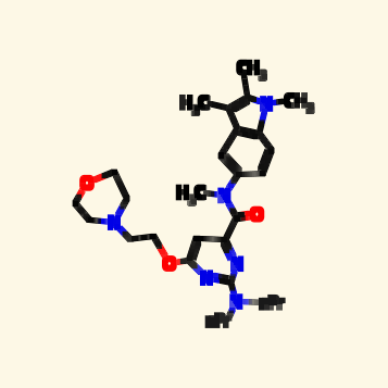 CCCN(CCC)c1nc(OCCN2CCOCC2)cc(C(=O)N(C)c2ccc3c(c2)c(C)c(C)n3C)n1